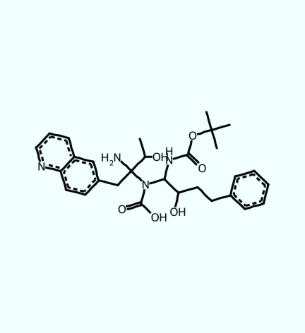 CC(O)C(N)(Cc1ccc2ncccc2c1)N(C(=O)O)C(NC(=O)OC(C)(C)C)C(O)CCc1ccccc1